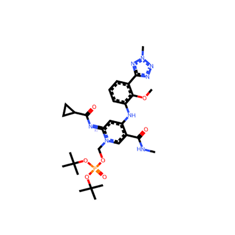 CNC(=O)c1cn(COP(=O)(OC(C)(C)C)OC(C)(C)C)/c(=N/C(=O)C2CC2)cc1Nc1cccc(-c2nnn(C)n2)c1OC